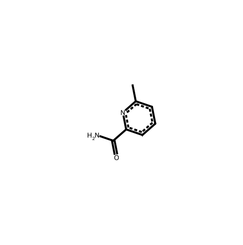 Cc1cc[c]c(C(N)=O)n1